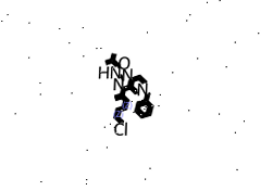 C=C(/C=C\C=C/CCl)c1nc(NC(=O)C(C)C)nc2c1CN(Cc1ccccc1)CC2